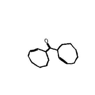 O=C(C1C=CCCCCC1)C1C=CCCCCC1